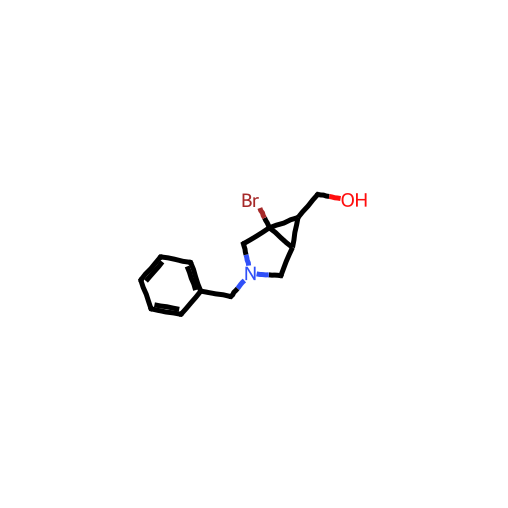 OCC1C2CN(Cc3ccccc3)CC12Br